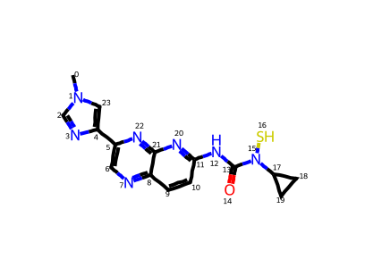 Cn1cnc(-c2cnc3ccc(NC(=O)N(S)C4CC4)nc3n2)c1